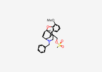 COc1cccc2c1OC13C=CC4C(C(COS(C)(=O)=O)CC1)C23CCN4Cc1ccccc1